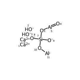 [Ca+2].[Ca+2].[OH-].[OH-].[O]=[Al][O][Si]([O-])([O-])[O][Al]